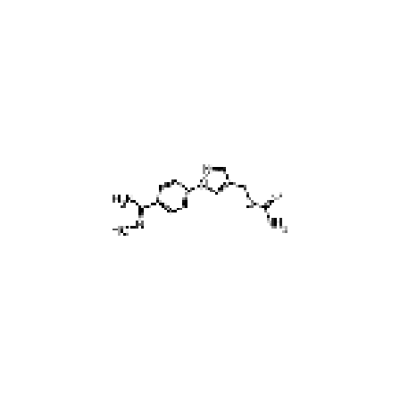 NC(=O)OCc1cnn(-c2ccc(C(N)=NO)cc2)c1